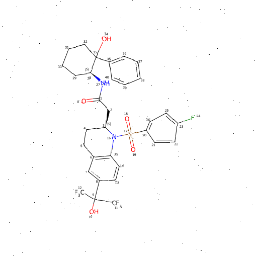 O=C(C[C@@H]1CCc2cc(C(O)(C(F)(F)F)C(F)(F)F)ccc2N1S(=O)(=O)c1ccc(F)cc1)N[C@H]1CCCCC1(O)c1ccccc1